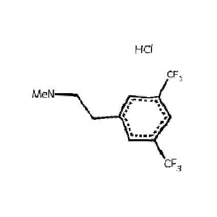 CNCCc1cc(C(F)(F)F)cc(C(F)(F)F)c1.Cl